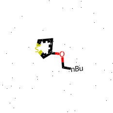 CCCCCOc1ccsc1